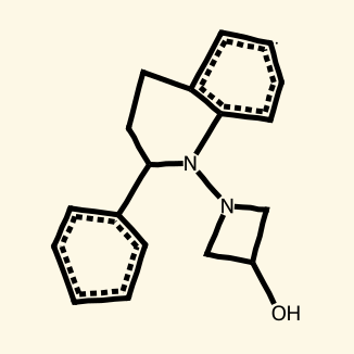 OC1CN(N2c3cc[c]cc3CCC2c2ccccc2)C1